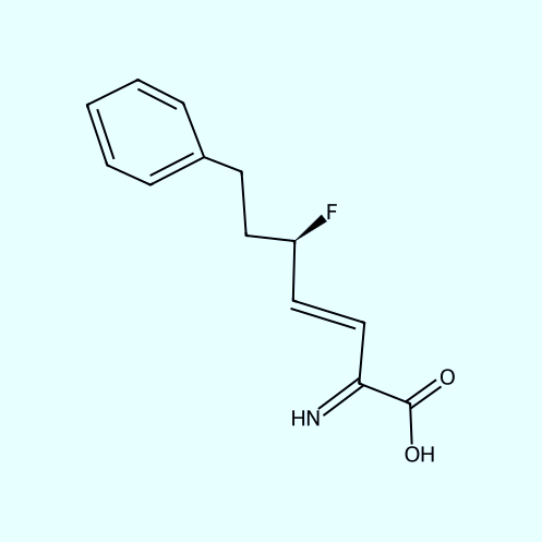 N=C(/C=C/[C@H](F)CCc1ccccc1)C(=O)O